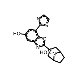 O=C(O)N1C2CCC1CN(c1nc3cc(O)cc(-c4nccs4)c3o1)C2